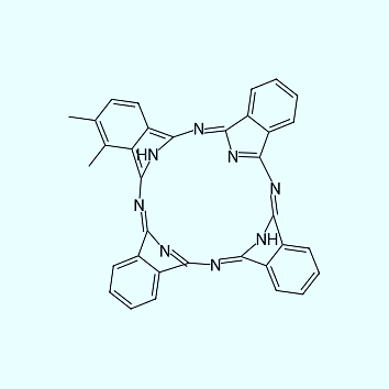 Cc1ccc2c3nc4nc(nc5[nH]c(nc6nc(nc([nH]3)c2c1C)-c1ccccc1-6)c1ccccc51)-c1ccccc1-4